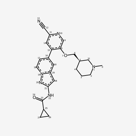 CN1CCC[C@@H](COc2cnc(C#N)cc2-c2ccn3nc(NC(=O)C4CC4)cc3c2)C1